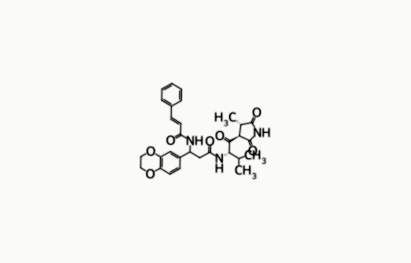 CC(C)[C@H](NC(=O)CC(NC(=O)/C=C/c1ccccc1)c1ccc2c(c1)OCCO2)C(=O)[C@@H]1C(=O)NC(=O)[C@H]1C